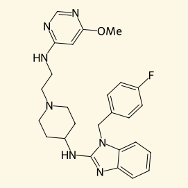 COc1cc(NCCN2CCC(Nc3nc4ccccc4n3Cc3ccc(F)cc3)CC2)ncn1